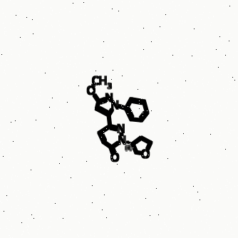 COc1cc(-c2ccc(=O)n([C@@H]3CCOC3)n2)n(-c2ccccc2)n1